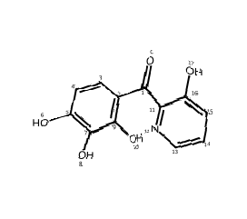 O=C(c1ccc(O)c(O)c1O)c1ncccc1O